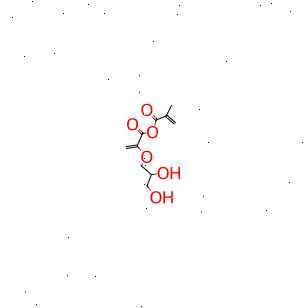 C=C(C)C(=O)OC(=O)C(=C)OCC(O)CO